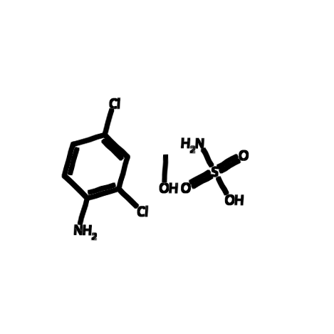 CO.NS(=O)(=O)O.Nc1ccc(Cl)cc1Cl